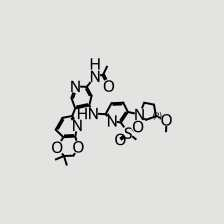 CO[C@@H]1CCN(c2ccc(Nc3cc(NC(C)=O)ncc3-c3ccc4c(n3)OCC(C)(C)O4)nc2S(C)(=O)=O)C1